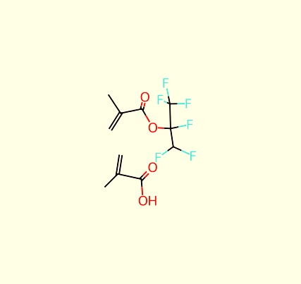 C=C(C)C(=O)O.C=C(C)C(=O)OC(F)(C(F)F)C(F)(F)F